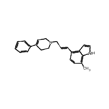 Cc1ccc(C=CCN2CC=C(c3ccccc3)CC2)c2cc[nH]c12